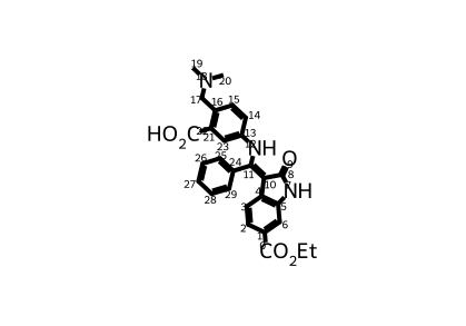 CCOC(=O)c1ccc2c(c1)NC(=O)/C2=C(\Nc1ccc(CN(C)C)c(C(=O)O)c1)c1ccccc1